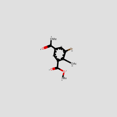 CCCCOC(=O)c1cc(C(=O)OC)cc(Br)c1OC(C)=O